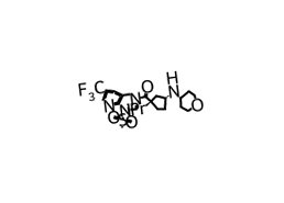 CC(C)[C@]1(C(=O)N2Cc3cc(C(F)(F)F)cnc3N(S(C)(=O)=O)C2)CC[C@@H](NC2CCOCC2)C1